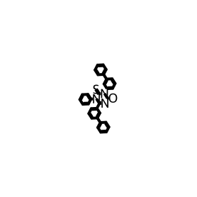 O=c1nc(-c2cccc(-c3ccccc3)c2)n(-c2ccccc2)c(=S)n1-c1cccc(-c2ccccc2)c1